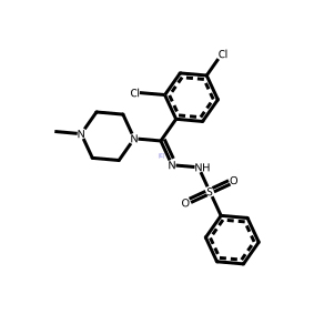 CN1CCN(/C(=N/NS(=O)(=O)c2ccccc2)c2ccc(Cl)cc2Cl)CC1